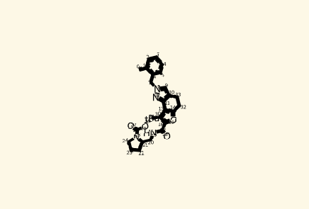 Cc1ccccc1Cn1cc2c(n1)-c1c(oc(C(=O)NCC3CCCN3C(=O)OC(C)(C)C)c1C)CC2